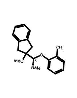 CN[C@H](Oc1ccccc1C)C1(OC)Cc2ccccc2C1